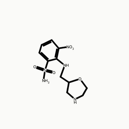 NS(=O)(=O)c1cccc([N+](=O)[O-])c1NCC1CNCCO1